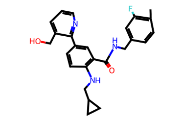 Cc1ccc(CNC(=O)c2cc(-c3ncccc3CO)ccc2NCC2CC2)cc1F